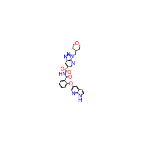 O=C(NS(=O)(=O)c1cnc2c(c1)nnn2CC1CCOCC1)c1ccccc1Oc1cnc2[nH]ccc2c1